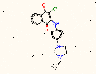 CCN1CCN(c2ccc(NC3=C(Cl)C(=O)c4ccccc4C3=O)cc2)CC1